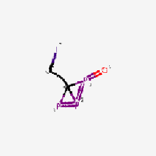 O=P1=P2=PC12CI